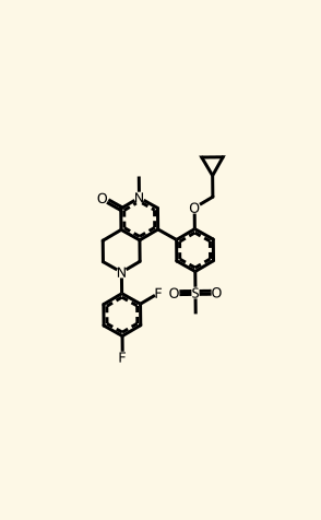 Cn1cc(-c2cc(S(C)(=O)=O)ccc2OCC2CC2)c2c(c1=O)CCN(c1ccc(F)cc1F)C2